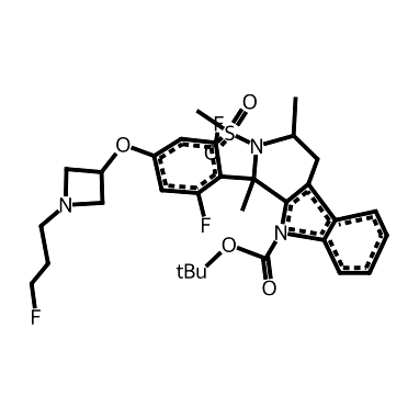 CC1Cc2c(n(C(=O)OC(C)(C)C)c3ccccc23)C(C)(c2c(F)cc(OC3CN(CCCF)C3)cc2F)N1S(C)(=O)=O